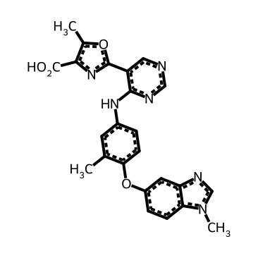 Cc1cc(Nc2ncncc2-c2nc(C(=O)O)c(C)o2)ccc1Oc1ccc2c(c1)ncn2C